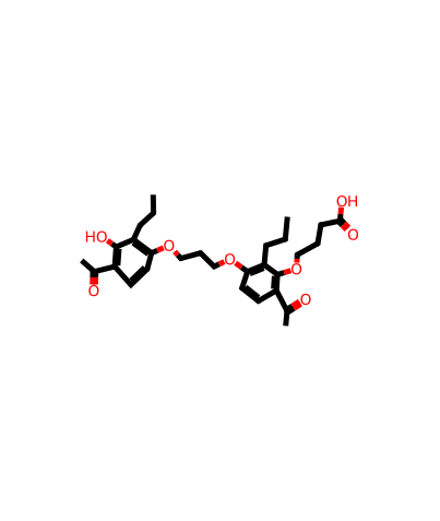 CCCc1c(OCCCOc2ccc(C(C)=O)c(OCCCC(=O)O)c2CCC)ccc(C(C)=O)c1O